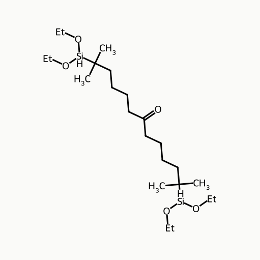 CCO[SiH](OCC)C(C)(C)CCCCC(=O)CCCCC(C)(C)[SiH](OCC)OCC